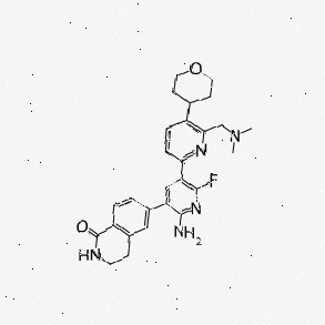 CN(C)Cc1nc(-c2cc(-c3ccc4c(c3)CCNC4=O)c(N)nc2F)ccc1C1CCOCC1